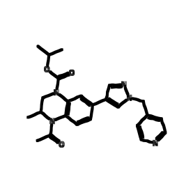 CC(=O)N1c2ccc(-c3cnn(Cc4ccncc4)c3)cc2N(C(=O)OC(C)C)CC1C